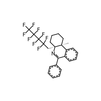 C[C@@]12CCCC[C@]1(CC(F)(F)C(F)(F)C(F)(F)C(F)(F)F)N=C(c1ccccc1)c1ccccc12